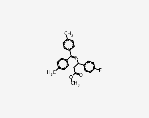 COC(=O)CC(N=C(c1ccc(C)cc1)c1ccc(C)cc1)c1ccc(F)cc1